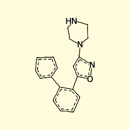 c1ccc(-c2ccccc2-c2cc(N3CCNCC3)no2)cc1